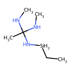 CC[SiH2]NC(C)(NC)NC